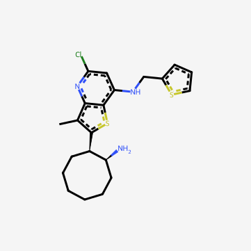 Cc1c([C@@H]2CCCCCC[C@@H]2N)sc2c(NCc3cccs3)cc(Cl)nc12